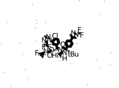 CC(C)(C)C[C@]1(c2ccc(-c3cnn(C(F)F)c3)cc2)NC(=N)N([C@H](COC(=O)N[C@@H]2C[C@@H]2F)c2ccc(Cl)c(-n3ncnc3C(F)F)c2)C1=O